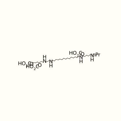 CCCNCCCCC(NCCCCCCCCCCCCCCCNCCNCCC(CCCOC(=O)O)OC(=O)O)OC(=O)O